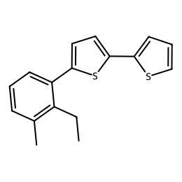 CCc1c(C)cccc1-c1ccc(-c2cccs2)s1